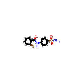 NS(=O)(=O)c1ccc(NC(=O)C2=CC=CCC2=S)cc1